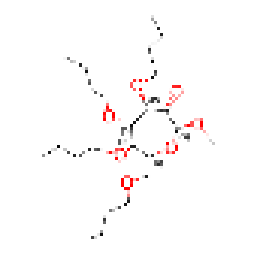 CCCCOC[C@H]1O[C@H](OC)C(=O)[C@H](OCCCC)[C@@H](OCCCC)[C@@H]1OCCCC